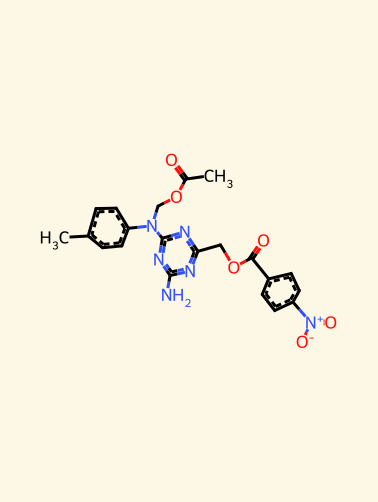 CC(=O)OCN(c1ccc(C)cc1)c1nc(N)nc(COC(=O)c2ccc([N+](=O)[O-])cc2)n1